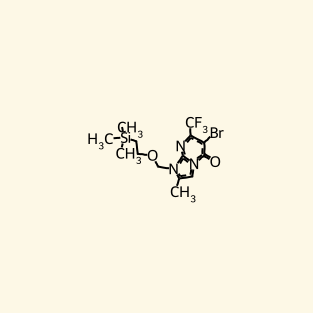 Cc1cn2c(=O)c(Br)c(C(F)(F)F)nc2n1COCC[Si](C)(C)C